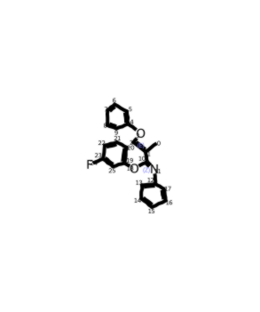 CC(=C\Oc1ccccc1)/C(=N/c1ccccc1)Oc1cccc(F)c1